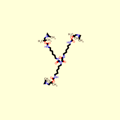 CC1CN1CC(C)(C)OC(=O)NCCCCCC/N=c1\on(CCCCCCNC(=O)OC(C)(C)CN2CC2C)c(=O)n(CCCCCCNC(=O)OC(C)(C)CN2CC2C)c1=O